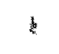 BBC1CCN1C(=O)OC1CCC2(CO2)C(C(C)(C)CCCC(C)(C)C)C1OC